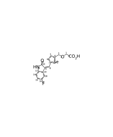 O=C(O)COCc1ccc(C=C2C(=O)Nc3ccc(F)cc32)[se]1